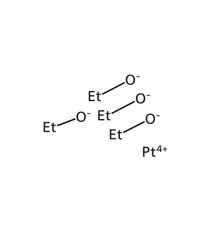 CC[O-].CC[O-].CC[O-].CC[O-].[Pt+4]